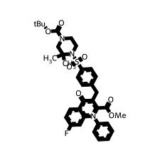 COC(=O)c1c(Cc2ccc(S(=O)(=O)N3CCN(C(=O)OC(C)(C)C)CC3(C)C)cc2)c(=O)c2ccc(F)cc2n1-c1ccccc1